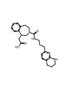 O=C(O)CC1CN(C(=O)NCCCc2ccc3c(n2)NCCC3)CCc2ccccc21